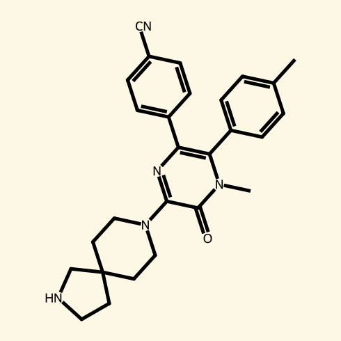 Cc1ccc(-c2c(-c3ccc(C#N)cc3)nc(N3CCC4(CCNC4)CC3)c(=O)n2C)cc1